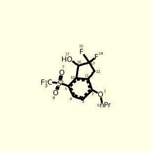 CCCOc1ccc(S(=O)(=O)C(F)(F)F)c2c1CC(F)(F)C2O